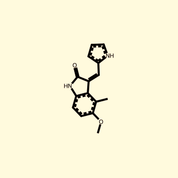 COc1ccc2c(c1C)C(=Cc1ccc[nH]1)C(=O)N2